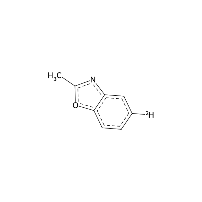 [2H]c1ccc2oc(C)nc2c1